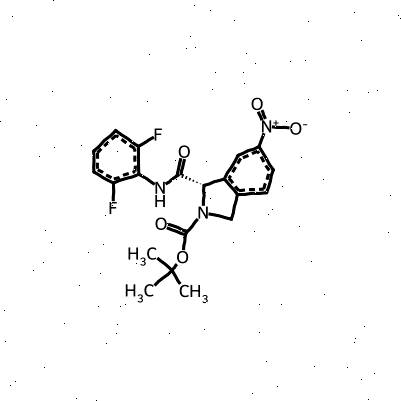 CC(C)(C)OC(=O)N1Cc2ccc([N+](=O)[O-])cc2[C@H]1C(=O)Nc1c(F)cccc1F